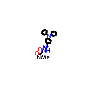 CNC(=O)CC(=O)N/N=C/c1ccc(N(c2ccccc2)c2ccccc2)cc1